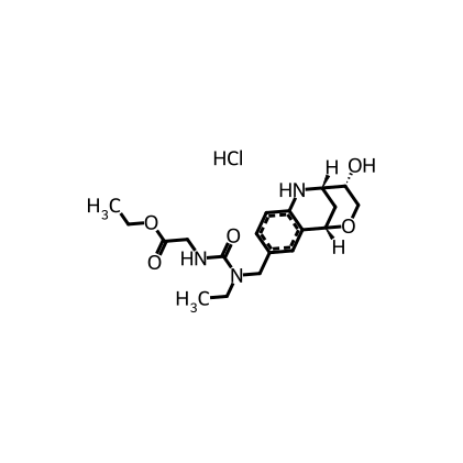 CCOC(=O)CNC(=O)N(CC)Cc1ccc2c(c1)[C@@H]1C[C@H](N2)[C@H](O)CO1.Cl